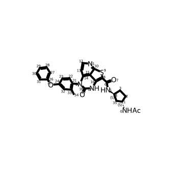 CC(=O)N[C@H]1CC[C@H](NC(=O)c2sc3nccc4c3c2NC(=O)N4c2ccc(Oc3ccccc3)cc2C)C1